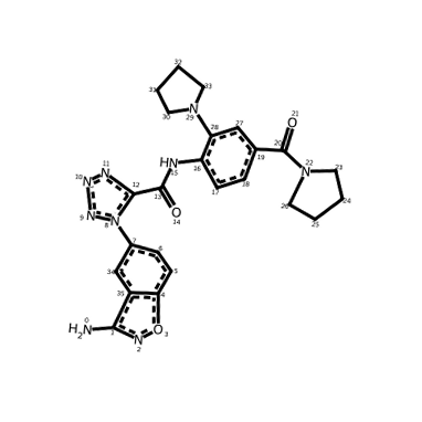 Nc1noc2ccc(-n3nnnc3C(=O)Nc3ccc(C(=O)N4CCCC4)cc3N3CCCC3)cc12